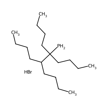 Br.CCCCC(CCCC)C(P)(CCCC)CCCC